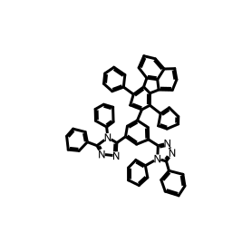 c1ccc(-c2cc(-c3cc(-c4nnc(-c5ccccc5)n4-c4ccccc4)cc(-c4nnc(-c5ccccc5)n4-c4ccccc4)c3)c(-c3ccccc3)c3c2-c2cccc4cccc-3c24)cc1